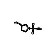 CC(C)(C)C1CCN(S(=O)(=O)C(C)(C)C)C1